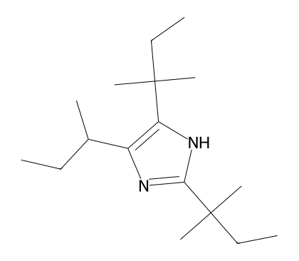 CCC(C)c1nc(C(C)(C)CC)[nH]c1C(C)(C)CC